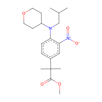 COC(=O)C(C)(C)c1ccc(N(CC(C)C)C2CCOCC2)c([N+](=O)[O-])c1